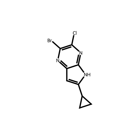 Clc1nc2[nH]c(C3CC3)cc2nc1Br